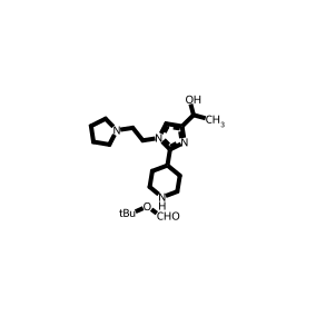 CC(C)(C)OC=O.CC(O)c1cn(CCN2CCCC2)c(C2CCNCC2)n1